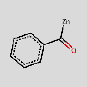 O=[C]([Zn])c1ccccc1